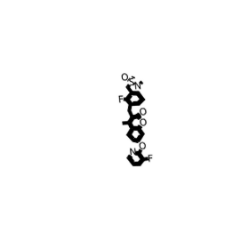 CN=S(C)(=O)Cc1cccc(Cc2c(C)c3ccc(Oc4ncccc4F)cc3oc2=O)c1F